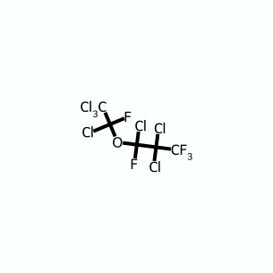 FC(F)(F)C(Cl)(Cl)C(F)(Cl)OC(F)(Cl)C(Cl)(Cl)Cl